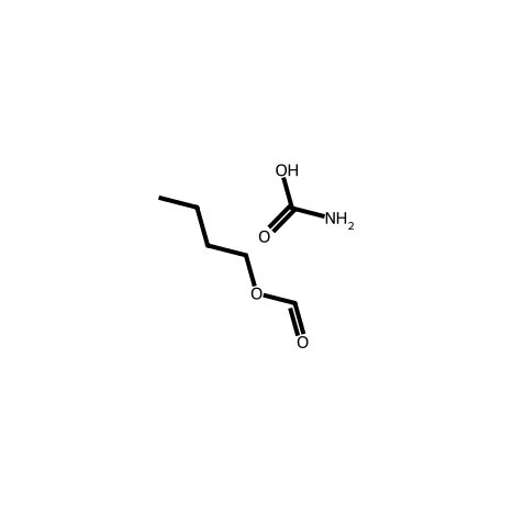 CCCCOC=O.NC(=O)O